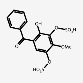 COc1c(OS(=O)(=O)O)cc(C(=O)c2ccccc2)c(O)c1OS(=O)(=O)O